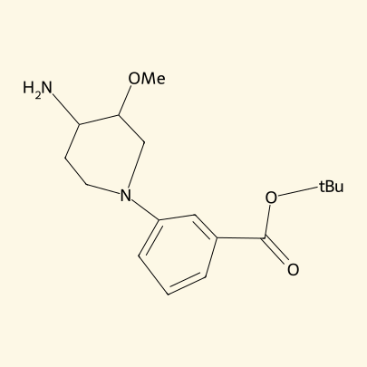 COC1CN(c2cccc(C(=O)OC(C)(C)C)c2)CCC1N